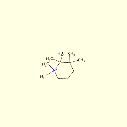 CC1(C)CCC[N+](C)(C)C1(C)C